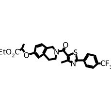 CCOC(=O)C(C)Oc1ccc2c(c1)CCN(C(=O)c1sc(-c3ccc(C(F)(F)F)cc3)nc1C)C2